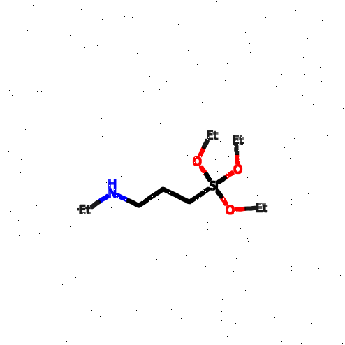 C[CH]NCCC[Si](OCC)(OCC)OCC